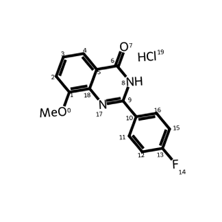 COc1cccc2c(=O)[nH]c(-c3ccc(F)cc3)nc12.Cl